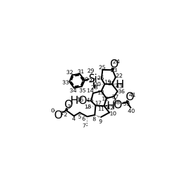 COC(=O)CC[C@@H](C)[C@H]1CC[C@H]2C3C(C[C@H](O)[C@]12C)[C@]1(C)[C@@H](CC(=O)C[C@H]1[Si](C)(C)c1ccccc1)C[C@H]3OC(C)=O